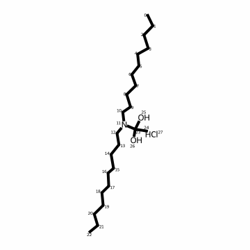 CCCCCCCCCCCN(CCCCCCCCCCC)C(C)(O)O.Cl